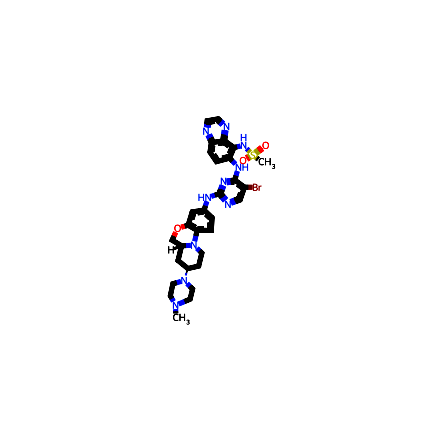 CN1CCN([C@H]2CCN3c4ccc(Nc5ncc(Br)c(Nc6ccc7nccnc7c6NS(C)(=O)=O)n5)cc4OC[C@H]3C2)CC1